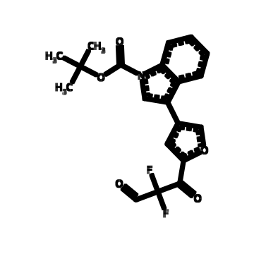 CC(C)(C)OC(=O)n1cc(-c2coc(C(=O)C(F)(F)C=O)c2)c2ccccc21